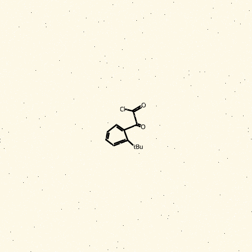 CC(C)(C)c1ccccc1C(=O)C(=O)Cl